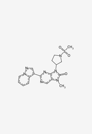 Cn1c(=O)n(C2CCN(S(C)(=O)=O)C2)c2nc(-c3cnn4ccccc34)ncc21